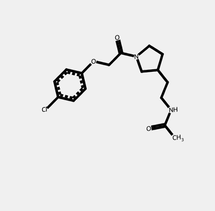 CC(=O)NCCC1CCN(C(=O)COc2ccc(Cl)cc2)C1